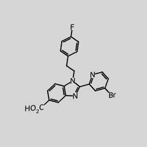 O=C(O)c1ccc2c(c1)nc(-c1cc(Br)ccn1)n2CCc1ccc(F)cc1